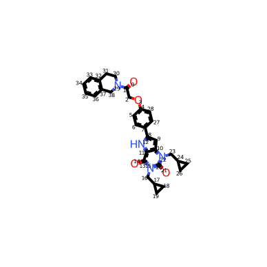 O=C(COc1ccc(-c2cc3c([nH]2)c(=O)n(CC2CC2)c(=O)n3CC2CC2)cc1)N1CCc2ccccc2C1